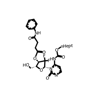 CCCCCCCOC(=O)Nc1ccnc(=O)n1[C@@H]1O[C@H](CO)[C@@H](OC(=O)CCC(=O)Nc2ccccc2)C1(F)F